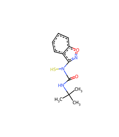 CC(C)(C)NC(=O)N(S)c1noc2ccccc12